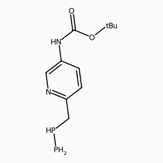 CC(C)(C)OC(=O)Nc1ccc(CPP)nc1